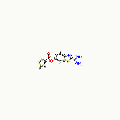 N=C(N)c1nc2ccc(OC(=O)c3ccsc3)cc2s1